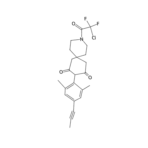 CC#Cc1cc(C)c(C2C(=O)CC3(CCN(C(=O)C(F)(F)Cl)CC3)CC2=O)c(C)c1